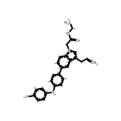 C=CCc1cn(CC(=O)OCC)c2ccc(-c3ccc(Oc4ccc(F)cc4)cc3)cc12